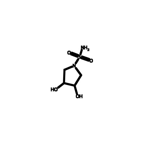 NS(=O)(=O)N1CC(O)C(O)C1